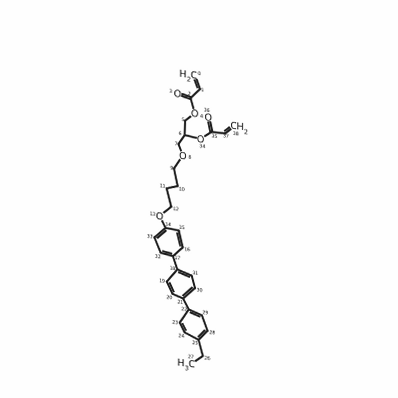 C=CC(=O)OCC(COCCCCOc1ccc(-c2ccc(-c3ccc(CC)cc3)cc2)cc1)OC(=O)C=C